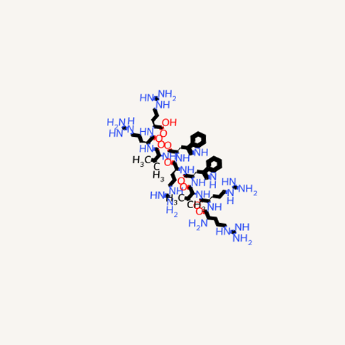 CC(C)[C@H](NC(=O)[C@H](Cc1c[nH]c2ccccc12)NC(=O)[C@H](CCCNC(=N)N)NC(=O)[C@H](Cc1c[nH]c2ccccc12)NC(=O)[C@@H](NC(=O)[C@H](CCCNC(=N)N)NC(=O)[C@@H](N)CCCNC(=N)N)C(C)C)C(=O)N[C@@H](CCCNC(=N)N)C(=O)N[C@@H](CCCNC(=N)N)C(=O)O